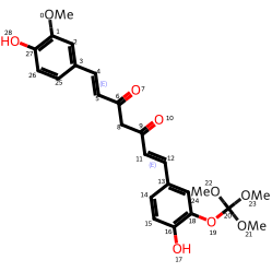 COc1cc(/C=C/C(=O)CC(=O)/C=C/c2ccc(O)c(OC(OC)(OC)OC)c2)ccc1O